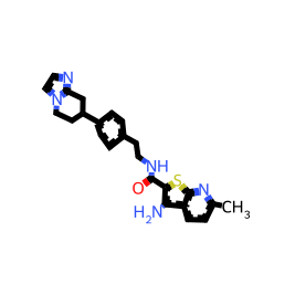 Cc1ccc2c(N)c(C(=O)NCCc3ccc(C4CCn5ccnc5C4)cc3)sc2n1